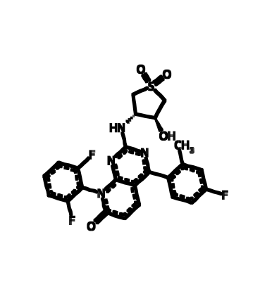 Cc1cc(F)ccc1-c1nc(N[C@@H]2CS(=O)(=O)C[C@H]2O)nc2c1ccc(=O)n2-c1c(F)cccc1F